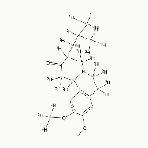 [2H]C([2H])([2H])Oc1cc2c(cc1OC)C([2H])([2H])C([2H])([2H])N1C([2H])([2H])C([2H])(C([2H])([2H])C([2H])(C([2H])([2H])[2H])C([2H])([2H])C)C(=O)C([2H])([2H])C21[2H]